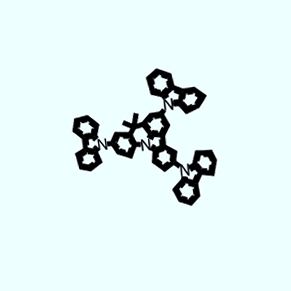 CC1(C)c2cc(-n3c4ccccc4c4ccccc43)ccc2-n2c3ccc(-n4c5ccccc5c5ccccc54)cc3c3cc(-n4c5ccccc5c5ccccc54)cc1c32